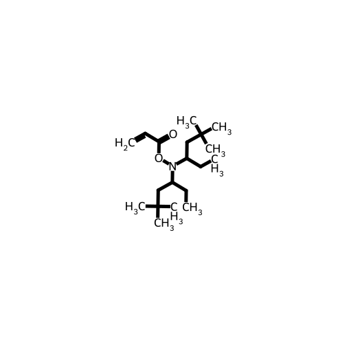 C=CC(=O)ON(C(CC)CC(C)(C)C)C(CC)CC(C)(C)C